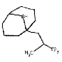 CC(CC12BC(CCC1)CCC2)C(F)(F)F